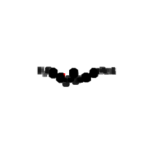 CCCCCC1CCC(c2ccc(COOC(COC(=O)c3ccc(C4CCC(C)CC4)cc3)c3ccccc3)cc2)CC1